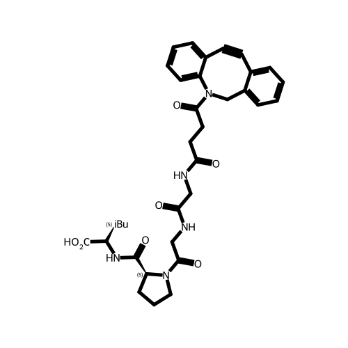 CC[C@H](C)C(NC(=O)[C@@H]1CCCN1C(=O)CNC(=O)CNC(=O)CCC(=O)N1Cc2ccccc2C#Cc2ccccc21)C(=O)O